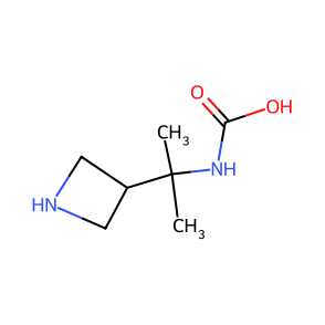 CC(C)(NC(=O)O)C1CNC1